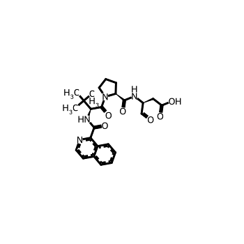 CC(C)(C)[C@H](NC(=O)c1nccc2ccccc12)C(=O)N1CCC[C@H]1C(=O)N[C@H](C=O)CC(=O)O